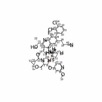 COC[C@@H]1[C@@H](Oc2cc(OC)ncc2F)C[C@H](c2cc3c([C@@H](C)O)nc4c(F)c(-c5cccc(Cl)c5Cl)c(CCC#N)cc4c3n2[C@H]2[C@H]3CN[C@@H]2C3)N1C(=O)C1CC1